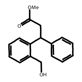 COC(=O)CC(c1ccccc1)c1ccccc1CO